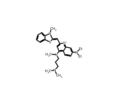 CCN(CC)c1ccc2c(N(C)CCCN(C)C)cc(/C=C3\Sc4ccccc4N3C)[o+]c2c1